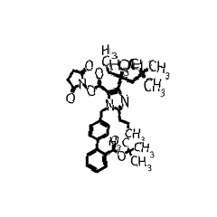 CCCc1nc(C(O)(CC)CC(C)(C)C)c(C(=O)ON2C(=O)CCC2=O)n1Cc1ccc(-c2ccccc2C(=O)OC(C)(C)C)cc1